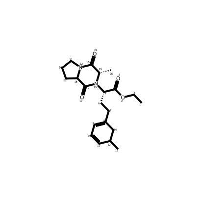 CCOC(=O)[C@H](CCC1=CC=CC(C)C1)N1C(=O)C2CCCN2C(=O)[C@@H]1C